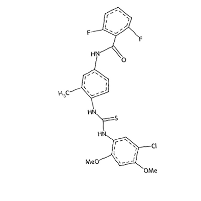 COc1cc(OC)c(NC(=S)Nc2ccc(NC(=O)c3c(F)cccc3F)cc2C)cc1Cl